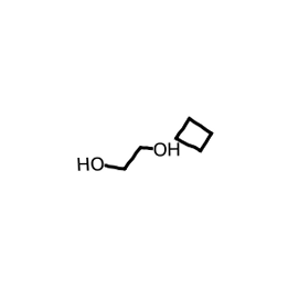 C1CCC1.OCCO